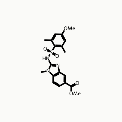 COC(=O)c1ccc2c(c1)nc(NS(=O)(=O)c1c(C)cc(OC)cc1C)n2C